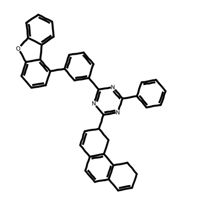 C1=Cc2ccc3c(c2CC1)CC(c1nc(-c2ccccc2)nc(-c2cccc(-c4cccc5oc6ccccc6c45)c2)n1)C=C3